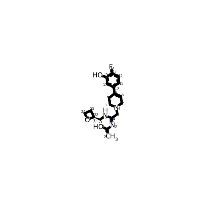 CC(O)/N=C(/CN1CC=C(c2ccc(F)c(O)c2)CC1)NC[C@@H]1CCO1